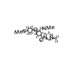 CNCc1cc(C(=O)N2CCCN(C3CC3)CC2)ccc1Oc1ccc(SC)cc1